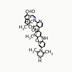 C[C@H]1CNC[C@H](C)N1c1ccc(Nc2cc(-c3ccnc(N(C)/C=C\n4c(C=O)cc5c4CC(C)(C)C5)c3CO)cn(C)c2=O)nc1